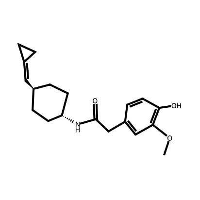 COc1cc(CC(=O)N[C@H]2CC[C@H](C=C3CC3)CC2)ccc1O